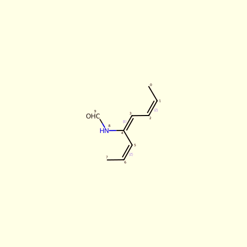 C\C=C/C=C(\C=C/C)NC=O